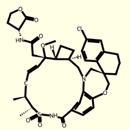 CO[C@@]1(CC(=O)N[C@@H]2CCOC2=O)/C=C/C[C@H](C)[C@@H](C)S(=O)(=O)NC(=O)c2ccc3c(c2)N(C[C@@H]2CC[C@H]21)C[C@@]1(CCCc2cc(Cl)ccc21)CO3